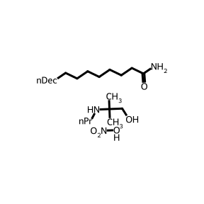 CCCCCCCCCCCCCCCCCC(N)=O.CCCNC(C)(C)CO.O=[N+]([O-])O